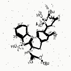 CC(C)(C)OC(=O)NC(Cc1ccc(C2CC(=O)N(C(C)(C)C)S2(O)O)c(Br)c1)c1nc2ccccc2n1C(=O)O